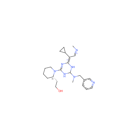 C/N=C\C(=C1\N=C(N2CCCC[C@H]2CCO)NC(N(C)Cc2cccnc2)N1)C1CC1